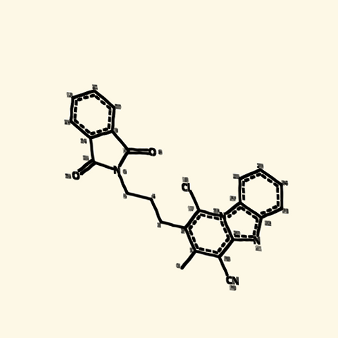 Cc1c(CCCN2C(=O)c3ccccc3C2=O)c(Cl)n2c(nc3ccccc32)c1C#N